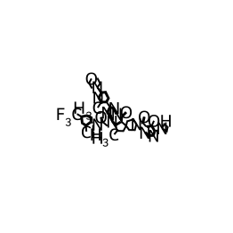 Cc1nc(N2CCOCC2)ccc1-c1nc2n(CC(=O)Nc3ccc(C(F)(F)F)cc3Cl)c3c(c(=O)n2n1)C1(CCN(C(=O)c2ncnc(N4CCC4)c2O)CC1)CC3C